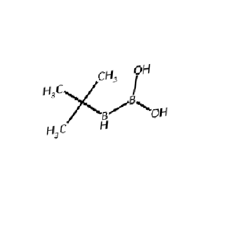 CC(C)(C)BB(O)O